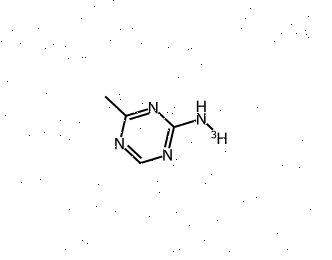 [3H]Nc1ncnc(C)n1